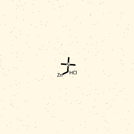 C[Si](C)(C)[CH2][Zn].Cl